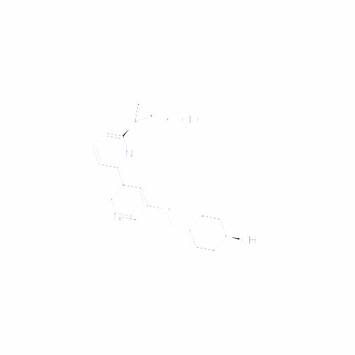 CCOC(=O)[C@H]1C[C@@H]1c1cccc(-c2cncc(OC[C@H]3CC[C@H](C)CC3)c2)n1